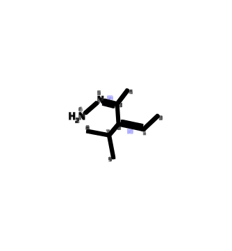 C/C=C(\C(C)=N/N)C(C)C